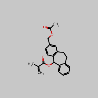 C=C(C)C(=O)OC1c2ccccc2CCc2cc(COC(C)=O)ccc21